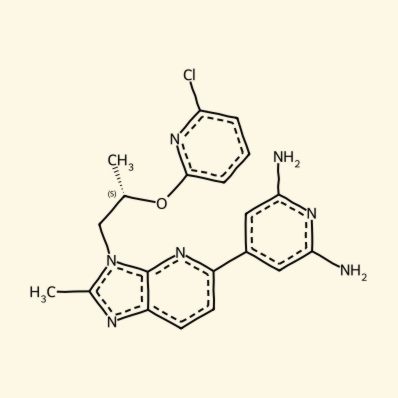 Cc1nc2ccc(-c3cc(N)nc(N)c3)nc2n1C[C@H](C)Oc1cccc(Cl)n1